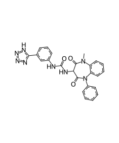 CN1C(=O)C(NC(=O)Nc2cccc(-c3nnn[nH]3)c2)C(=O)N(c2ccccc2)c2ccccc21